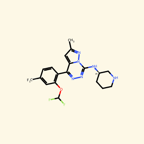 Cc1cc2c(-c3ccc(C(F)(F)F)cc3OC(F)F)nnc(N[C@@H]3CCCNC3)n2n1